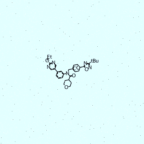 CCOc1ncc(-c2cccc(N(CC34CCC(c5nc(C(C)(C)C)no5)(CC3)CC4)C(=O)C3CCOCC3)c2)cn1